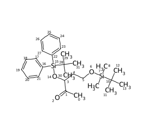 CC(=O)C(CCO[Si](C)(C)C(C)(C)C)O[Si](c1ccccc1)(c1ccccc1)C(C)(C)C